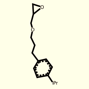 CC(C)c1ccc(CCCOCC2CO2)cc1